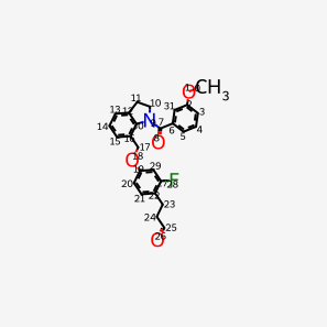 COc1cccc(C(=O)N2CCc3cccc(COc4ccc(CCC=O)c(F)c4)c32)c1